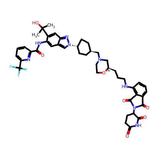 CC(C)(O)c1cc2nn([C@H]3CC[C@H](CN4CCO[C@H](CCCNc5cccc6c5C(=O)N(C5CCC(=O)NC5=O)C6=O)C4)CC3)cc2cc1NC(=O)c1cccc(C(F)(F)F)n1